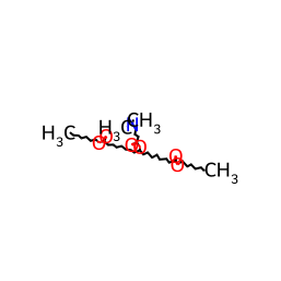 CCCCCCCOC(=O)CCCCCCCC(CCCCCCCC(=O)OCCCCCCC)OC(=O)CCCN(C)C